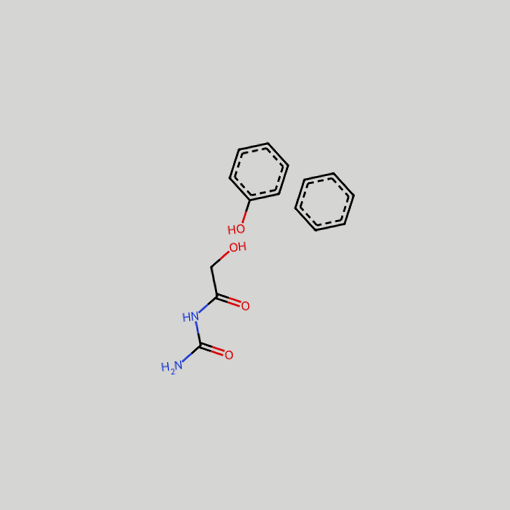 NC(=O)NC(=O)CO.Oc1ccccc1.c1ccccc1